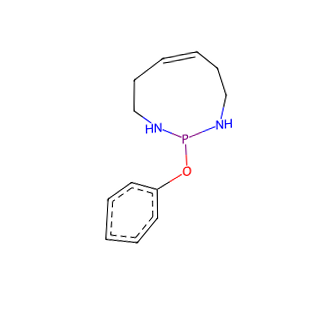 C1=C\CCNP(Oc2ccccc2)NCC/1